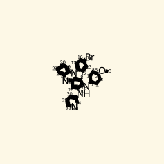 COC1CCC(N=c2cc3n(-c4ccc(Br)cc4)c4ccccc4nc-3cc2Nc2cccnc2)CC1